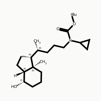 C[C@H](CCCN(C(=O)OC(C)(C)C)C1CC1)[C@H]1CC[C@H]2[C@@H](O)CCC[C@]12C